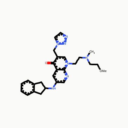 COCCN(C)CCn1cc(Cn2ccnn2)c(=O)c2cc(NC3Cc4ccccc4C3)cnc21